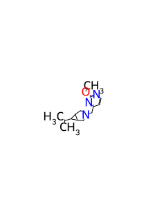 COc1nccc(CN2CC3C(C2)C3C(C)C)n1